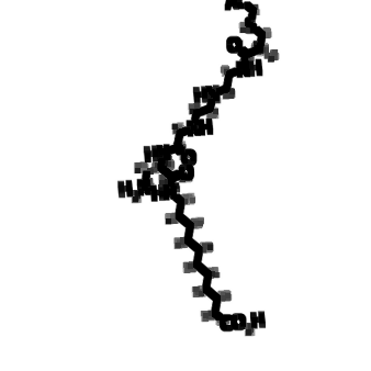 CC(=O)CSC[C@H](C)C(=O)NCCNCCNCC(=O)N[C@@H](CN)C(=O)NCCCCCCCCCCC(=O)O